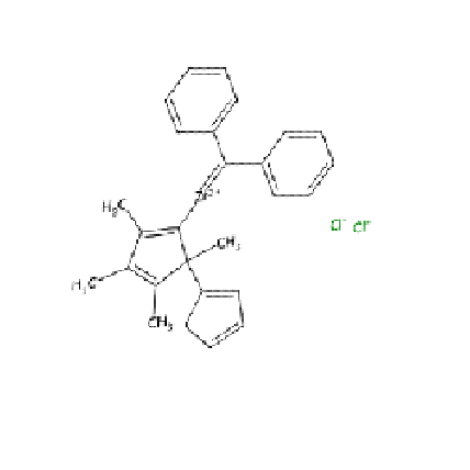 CC1=C(C)C(C)(C2=CC=CC2)[C]([Zr+2]=[C](c2ccccc2)c2ccccc2)=C1C.[Cl-].[Cl-]